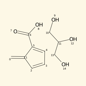 C=C1C=CC=C1C(=O)O.OCC(O)CO